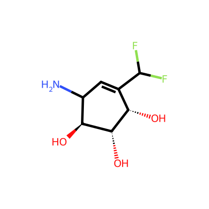 NC1C=C(C(F)F)[C@H](O)[C@H](O)[C@H]1O